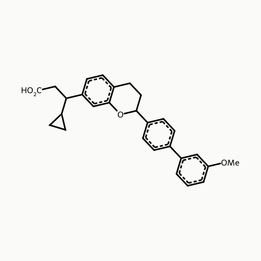 COc1cccc(-c2ccc(C3CCc4ccc(C(CC(=O)O)C5CC5)cc4O3)cc2)c1